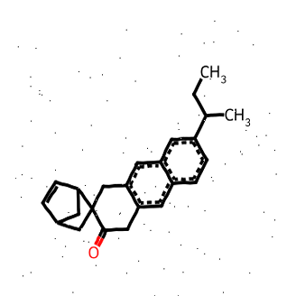 CCC(C)c1ccc2cc3c(cc2c1)CC1(CC2C=CC1C2)C(=O)C3